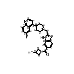 O=C(c1ccc2nc(CN3CCC(c4ccnc5ccc(F)cc45)CC3)[nH]c2c1)N1CC(O)C1